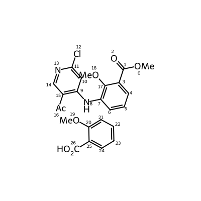 COC(=O)c1cccc(Nc2cc(Cl)ncc2C(C)=O)c1OC.COc1ccccc1C(=O)O